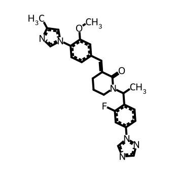 COc1cc(/C=C2\CCCN(C(C)c3ccc(-n4cncn4)cc3F)C2=O)ccc1-n1cnc(C)c1